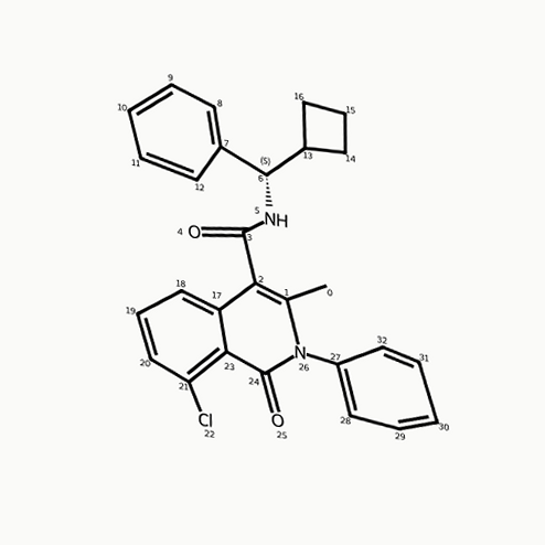 Cc1c(C(=O)N[C@H](c2ccccc2)C2CCC2)c2cccc(Cl)c2c(=O)n1-c1ccccc1